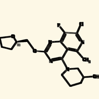 Cc1nc(Cl)c(F)c2nc(OC[C@H]3CCCO3)nc(N3CCCC(O)C3)c12